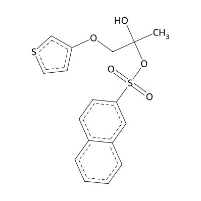 CC(O)(COc1ccsc1)OS(=O)(=O)c1ccc2ccccc2c1